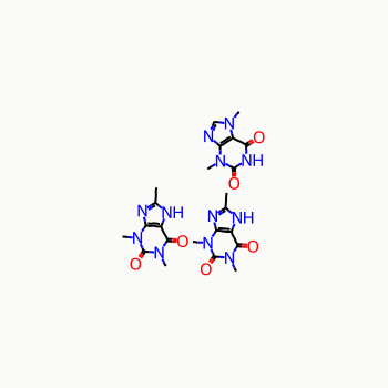 Cc1nc2c([nH]1)c(=O)n(C)c(=O)n2C.Cc1nc2c([nH]1)c(=O)n(C)c(=O)n2C.Cn1cnc2c1c(=O)[nH]c(=O)n2C